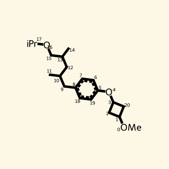 COC1CC(Oc2ccc(CC(C)CC(C)COC(C)C)cc2)C1